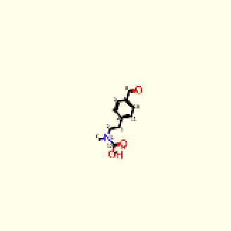 CN(CCc1ccc(C=O)cc1)C(=O)O